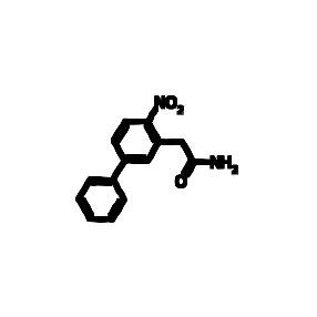 NC(=O)Cc1cc(-c2ccccc2)ccc1[N+](=O)[O-]